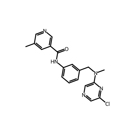 Cc1cncc(C(=O)Nc2cccc(CN(C)c3cncc(Cl)n3)c2)c1